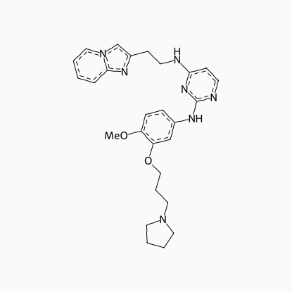 COc1ccc(Nc2nccc(NCCc3cn4ccccc4n3)n2)cc1OCCCN1CCCC1